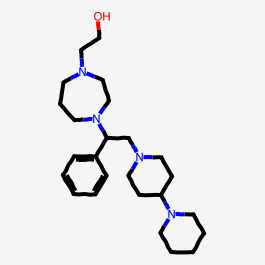 OCCN1CCCN(C(CN2CCC(N3CCCCC3)CC2)c2ccccc2)CC1